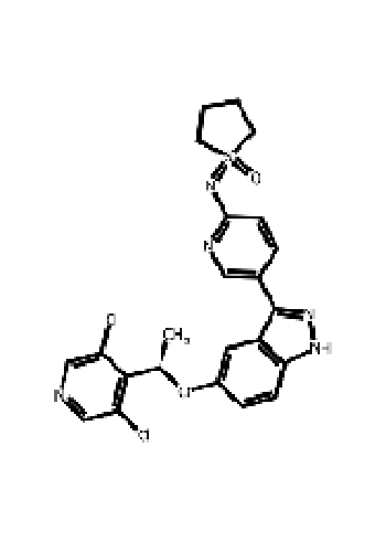 C[C@@H](Oc1ccc2[nH]nc(-c3ccc(N=S4(=O)CCCC4)nc3)c2c1)c1c(Cl)cncc1Cl